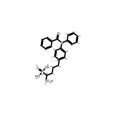 O=C(c1ccccc1)N(c1ccccc1)c1ccc(CCCC(P(=O)(O)O)S(=O)(=O)O)cc1